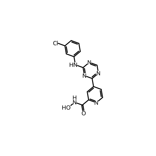 O=C(NO)c1cc(-c2ncnc(Nc3cccc(Cl)c3)n2)ccn1